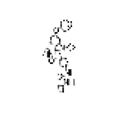 CO[NH+]([O-])c1c(-c2ccc(NC(=O)NC3CCC3)cc2)n(C2CCC2)c2cc(OC3CCOCC3)ccc12